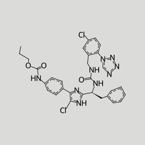 CCCOC(=O)Nc1ccc(-c2nc([C@H](Cc3ccccc3)NC(=O)NCc3cc(Cl)ccc3-n3cnnn3)[nH]c2Cl)cc1